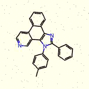 Cc1ccc(-n2c(-c3ccccc3)nc3c4ccccc4c4ccncc4c32)cc1